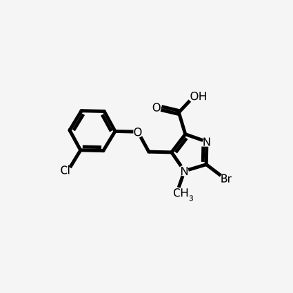 Cn1c(Br)nc(C(=O)O)c1COc1cccc(Cl)c1